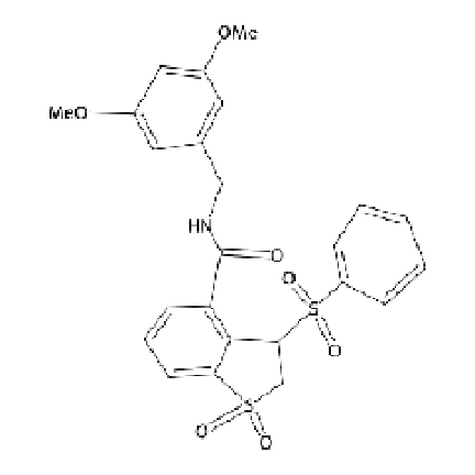 COc1cc(CNC(=O)c2cccc3c2C(S(=O)(=O)c2ccccc2)CS3(=O)=O)cc(OC)c1